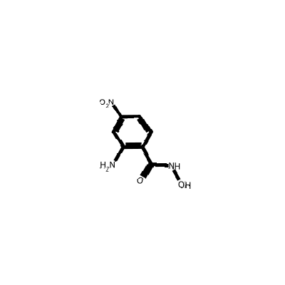 Nc1cc([N+](=O)[O-])ccc1C(=O)NO